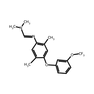 Cc1cc(Oc2cccc(OC(F)(F)F)c2)c(C)cc1/N=C/N(C)C